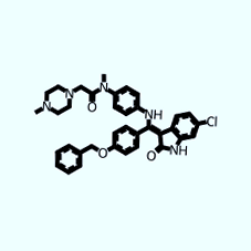 CN1CCN(CC(=O)N(C)c2ccc(NC(=C3C(=O)Nc4cc(Cl)ccc43)c3ccc(OCc4ccccc4)cc3)cc2)CC1